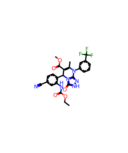 CCOC(=O)Nc1cc(C#N)ccc1C1C(C(=O)OC)=C(C)N(c2cccc(C(F)(F)F)c2)c2n[nH]c(=O)n21